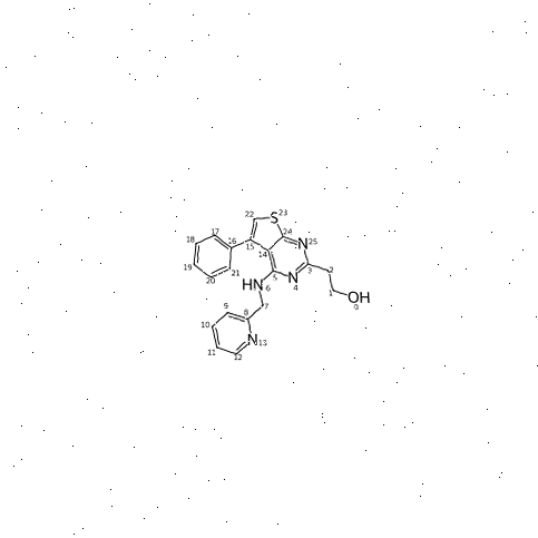 OCCc1nc(NCc2ccccn2)c2c(-c3ccccc3)csc2n1